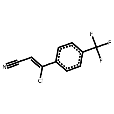 N#C/C=C(\Cl)c1ccc(C(F)(F)F)cc1